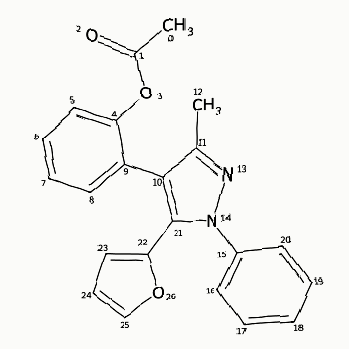 CC(=O)Oc1ccccc1-c1c(C)nn(-c2ccccc2)c1-c1ccco1